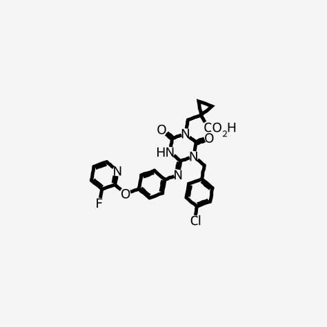 O=C(O)C1(Cn2c(=O)[nH]/c(=N\c3ccc(Oc4ncccc4F)cc3)n(Cc3ccc(Cl)cc3)c2=O)CC1